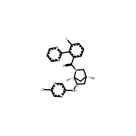 O=C(c1cccc(F)c1-c1ncccn1)N1C[C@H]2C[C@@H](Nc3cnc(Cl)cn3)[C@@H]1C2